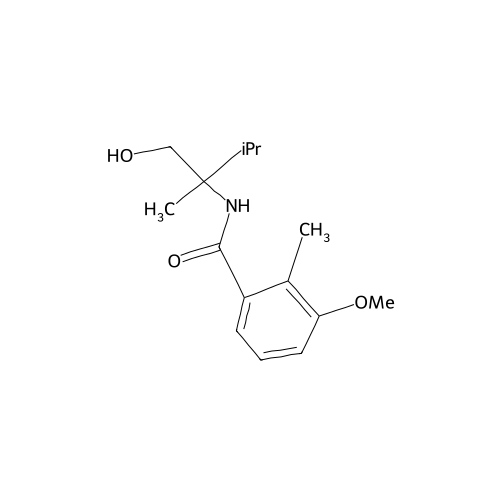 COc1cccc(C(=O)NC(C)(CO)C(C)C)c1C